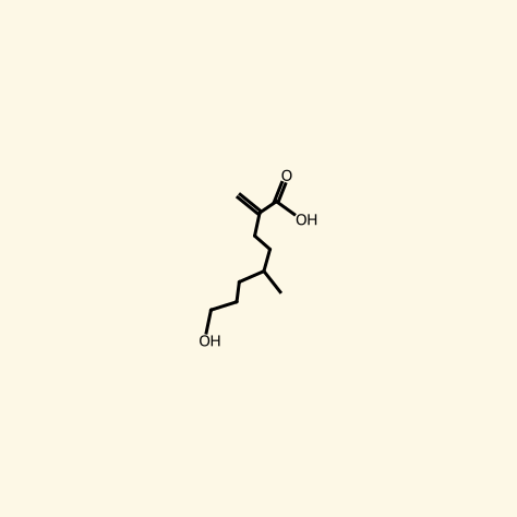 C=C(CCC(C)CCCO)C(=O)O